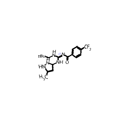 CC1CC(N/C(=N\C(=O)c2ccc(C(F)(F)F)cc2)NCC(C)(C)C)NN1